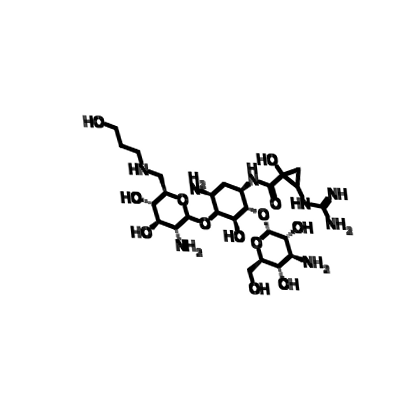 N=C(N)NC1CC1(O)C(=O)N[C@@H]1C[C@H](N)C(OC2O[C@H](CNCCCO)[C@@H](O)[C@H](O)[C@H]2N)[C@H](O)[C@H]1O[C@H]1O[C@H](CO)[C@@H](O)[C@H](N)[C@H]1O